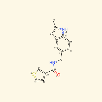 Cc1cc2cc(CNC(=O)c3ccsc3)ccc2[nH]1